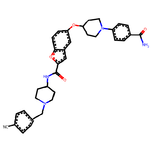 N#Cc1ccc(CN2CCC(NC(=O)c3cc4cc(OC5CCN(c6ccc(C(N)=O)cc6)CC5)ccc4o3)CC2)cc1